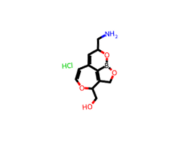 Cl.NCC1C=C2C=COC(CO)C3=C2B(OC3)O1